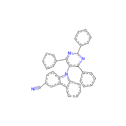 N#Cc1ccc2c(c1)c1ccccc1n2-c1c(-c2ccccc2)nc(-c2ccccc2)nc1-c1ccccc1